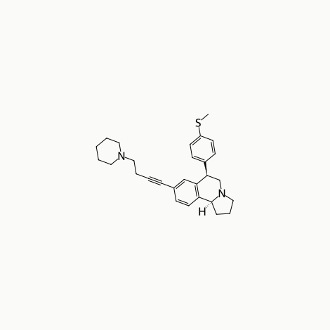 CSc1ccc([C@H]2CN3CCC[C@H]3c3ccc(C#CCCN4CCCCC4)cc32)cc1